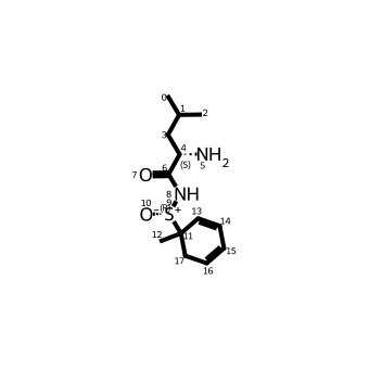 CC(C)C[C@H](N)C(=O)N[S@@+]([O-])C1(C)C=CC=CC1